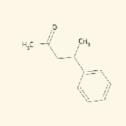 CC(=O)CC(C)c1cc[c]cc1